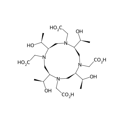 C[C@H](O)[C@H]1CN(CC(=O)O)[C@@H]([C@H](C)O)CN(CC(=O)O)[C@@H]([C@H](C)O)CN(CC(=O)O)[C@@H]([C@H](C)O)CN1CC(=O)O